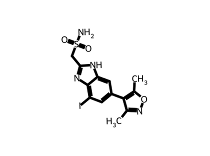 Cc1noc(C)c1-c1cc(I)c2nc(CS(N)(=O)=O)[nH]c2c1